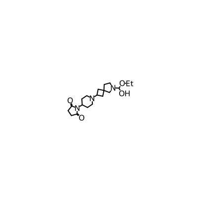 CCOC(O)N1CCC2(CC(N3CCC(N4C(=O)CCC4=O)CC3)C2)C1